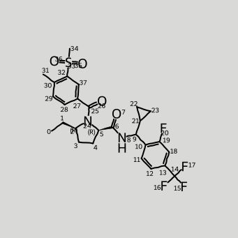 CC[C@@H]1CC[C@H](C(=O)NC(c2ccc(C(F)(F)F)cc2F)C2CC2)N1C(=O)c1ccc(C)c(S(C)(=O)=O)c1